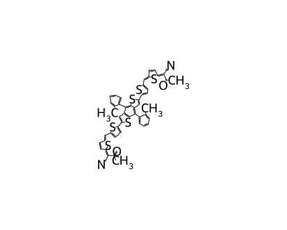 CC(=O)/C(C#N)=c1/cc/c(=C/c2ccc(-c3cc4c(-c5ccccc5C)c5sc(-c6ccc(/C=c7/cc/c(=C(\C#N)C(C)=O)s7)s6)cc5c(-c5ccccc5C)c4s3)s2)s1